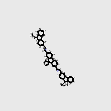 CCC1(CC)c2cc(/C=C/c3ccc4c(c3)-c3ccccc3C4NC)ccc2-c2ccc(/C=C/c3ccc4c(c3)-c3ccccc3C4NC)cc21